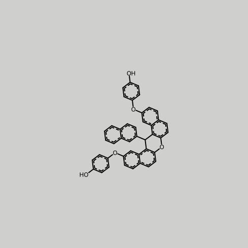 Oc1ccc(Oc2ccc3ccc4c(c3c2)C(c2ccc3ccccc3c2)c2c(ccc3ccc(Oc5ccc(O)cc5)cc23)O4)cc1